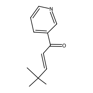 CC(C)(C)C=CC(=O)c1cccnc1